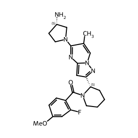 COc1ccc(C(=O)N2CCCC[C@H]2c2cc3nc(N4CC[C@H](N)C4)c(C)cn3n2)c(F)c1